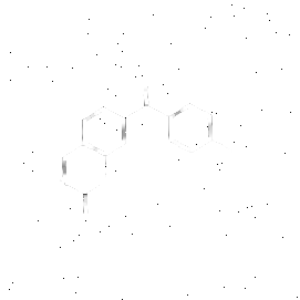 O=C(c1ccc(Cl)cc1)c1ccc2cnc(=O)oc2c1